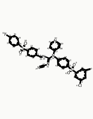 Cc1cc(Cl)cc(S(=O)(=O)c2ccc(N(C(=NC#N)NCc3ccc(S(=O)(=O)c4ccc(F)cc4)cc3)c3ccncc3)cc2)c1